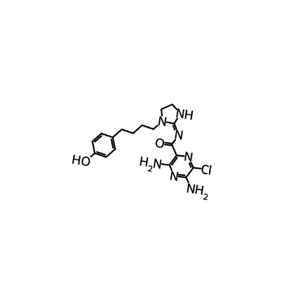 Nc1nc(N)c(C(=O)/N=C2/NCCN2CCCCc2ccc(O)cc2)nc1Cl